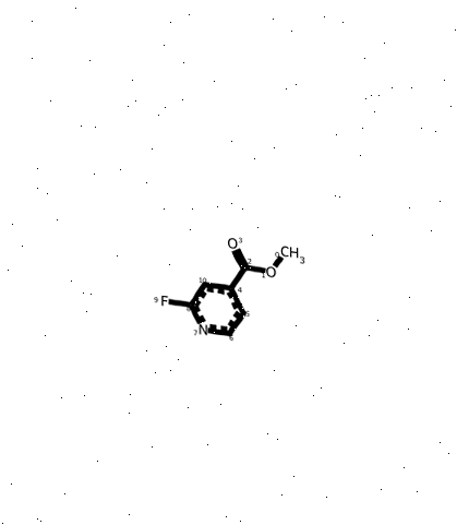 COC(=O)c1ccnc(F)c1